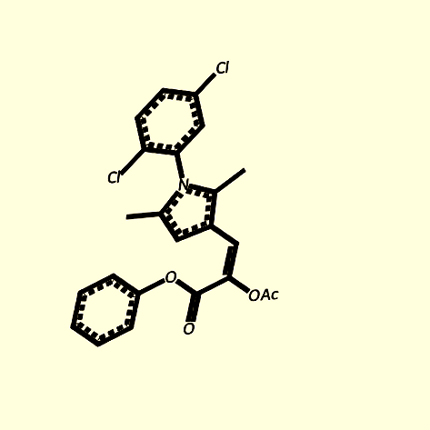 CC(=O)OC(=Cc1cc(C)n(-c2cc(Cl)ccc2Cl)c1C)C(=O)Oc1ccccc1